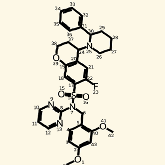 COc1ccc(CN(c2ncccn2)S(=O)(=O)c2cc3c(cc2F)C(N2CCCCC2c2ccccc2)CCO3)c(OC)c1